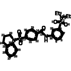 CCN(CC)S(=O)(=O)c1cccc(NC(=O)c2ccc(S(=O)(=O)N3CCCc4ccccc43)cc2)c1